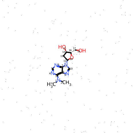 CN(C)c1ncnc2c1ncn2[C@H]1C[C@@H](O)[C@H](CO)O1